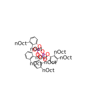 CCCCCCCCc1cccc(OP(=O)(Oc2cccc(CCCCCCCC)c2CCCCCCCC)OP(=O)(Oc2cccc(CCCCCCCC)c2CCCCCCCC)Oc2cccc(CCCCCCCC)c2CCCCCCCC)c1CCCCCCCC